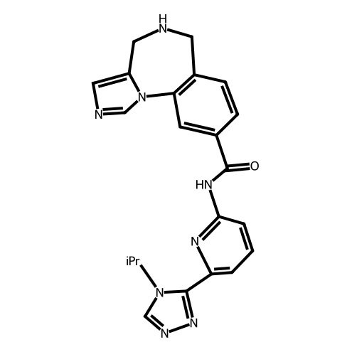 CC(C)n1cnnc1-c1cccc(NC(=O)c2ccc3c(c2)-n2cncc2CNC3)n1